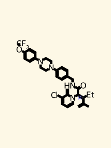 C=C(C)/C(CC)=C(/C(=O)NCc1ccc(N2CCN(c3ccc(OC(F)(F)F)cc3)CC2)cc1)N1C=CC=C(Cl)C1=C